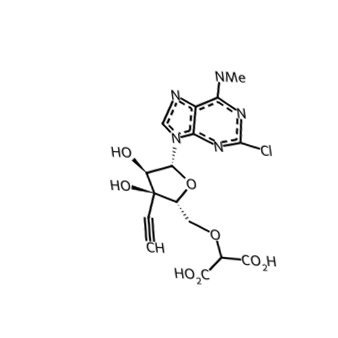 C#C[C@@]1(O)[C@@H](COC(C(=O)O)C(=O)O)O[C@@H](n2cnc3c(NC)nc(Cl)nc32)[C@@H]1O